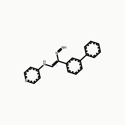 N=N/C(=C\Nc1ccncc1)c1cccc(-c2ccccc2)c1